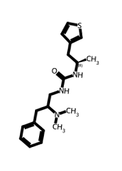 C[C@H](Cc1ccsc1)NC(=O)NCC(Cc1ccccc1)N(C)C